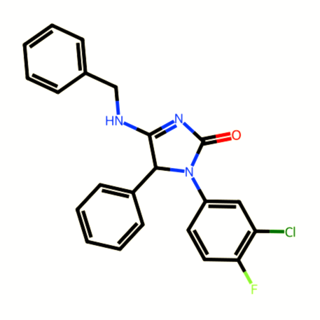 O=C1N=C(NCc2ccccc2)C(c2ccccc2)N1c1ccc(F)c(Cl)c1